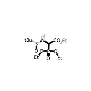 CCOC(=O)C(N[S@+]([O-])C(C)(C)C)P(=O)(OCC)OCC